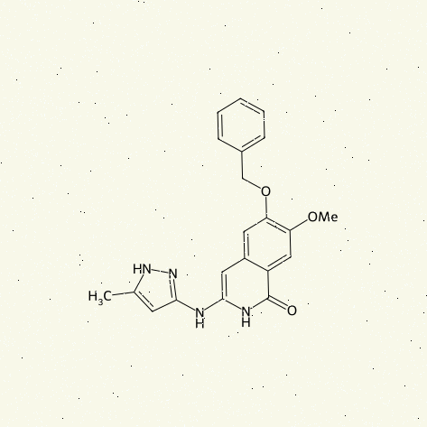 COc1cc2c(=O)[nH]c(Nc3cc(C)[nH]n3)cc2cc1OCc1ccccc1